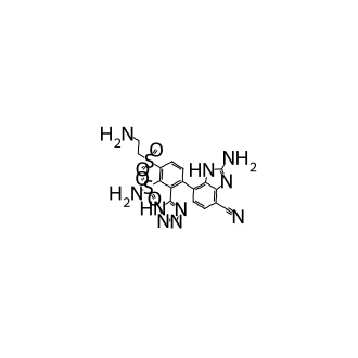 N#Cc1ccc(-c2ccc(S(=O)(=O)CCN)c(S(N)(=O)=O)c2-c2nnn[nH]2)c2[nH]c(N)nc12